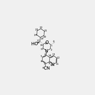 C[C@@H]1CN(c2ccc(C#N)c3ncccc23)C[C@H](C(O)C2CCCCC2)O1